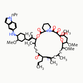 C=CCC1/C=C(\C)CC(C)CC(OC)C2OC(O)(C(=O)C(=O)N3CCCCC3C(=O)OC(C(C)=CC3CCC(Nc4ccc5c(ccn5CCC)c4)C(OC)C3)C(C)CCC1=O)C(C)CC2OC